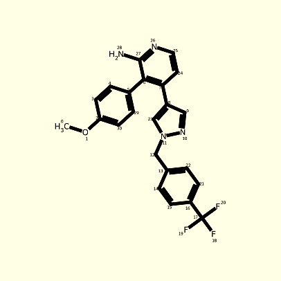 COc1ccc(-c2c(-c3cnn(Cc4ccc(C(F)(F)F)cc4)c3)ccnc2N)cc1